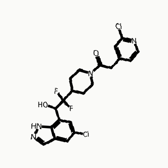 O=C(Cc1ccnc(Cl)c1)N1CCC(C(F)(F)C(O)c2cc(Cl)cc3cn[nH]c23)CC1